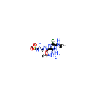 CC(C)N.CC(C)Nc1nc(N)c(C(=O)N=CNN=S(=O)=O)nc1Cl